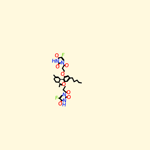 C=C(C)[C@@H]1CCC(C)=C[C@H]1c1c(OCCC(=O)n2cc(F)c(=O)[nH]c2=O)cc(CCCCC)cc1OCCC(=O)n1cc(F)c(=O)[nH]c1=O